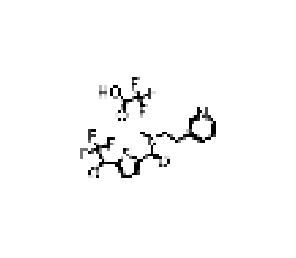 CN(CCc1cccnc1)C(=O)c1ccc(C(=O)C(F)(F)F)s1.O=C(O)C(F)(F)F